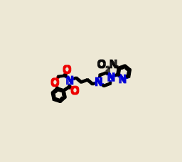 O=C1COc2ccccc2C(=O)N1CCCCN1CCN(c2ncccc2[N+](=O)[O-])CC1